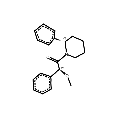 CO[C@H](C(=O)N1CCCC[C@H]1c1ccccc1)c1ccccc1